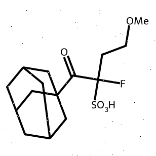 COCCC(F)(C(=O)C12CC3CC(CC(C3)C1)C2)S(=O)(=O)O